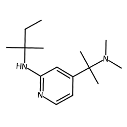 CCC(C)(C)Nc1cc(C(C)(C)N(C)C)ccn1